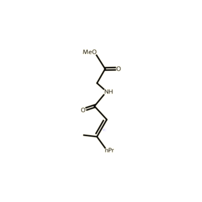 CCC/C(C)=C/C(=O)NCC(=O)OC